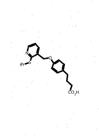 CC(C)Sc1ncccc1COc1ccc(CCCC(=O)O)cc1